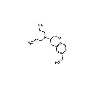 CCCN(CCC)C1COc2ccc(CO)cc2C1